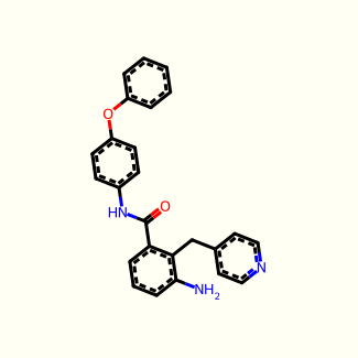 Nc1cccc(C(=O)Nc2ccc(Oc3ccccc3)cc2)c1Cc1ccncc1